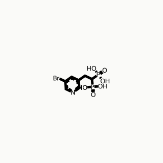 O=P(O)(O)C(Cc1cncc(Br)c1)P(=O)(O)O